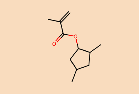 C=C(C)C(=O)OC1CC(C)CC1C